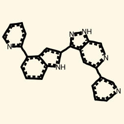 c1ccc(-c2cccc3[nH]c(-c4n[nH]c5cnc(-c6cccnc6)cc45)cc23)nc1